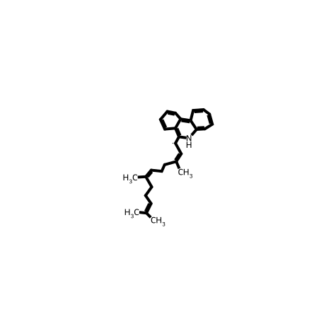 CC(C)=CCCC(C)=CCCC(C)=C[CH]C1=c2ccccc2=C2C=CC=CC=C2N1